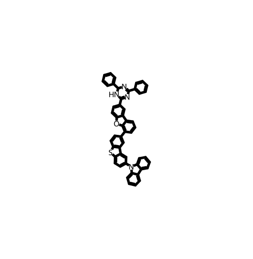 c1ccc(C2=NC(c3ccccc3)NC(c3ccc4oc5c(-c6ccc7sc8ccc(-n9c%10ccccc%10c%10ccccc%109)cc8c7c6)cccc5c4c3)=N2)cc1